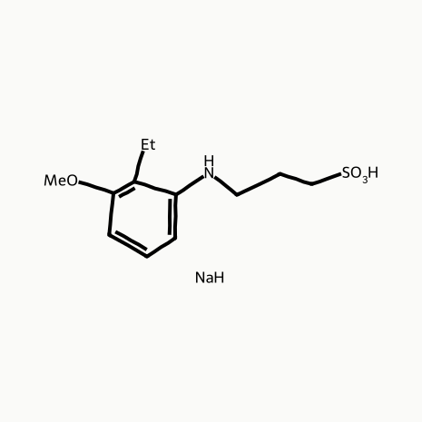 CCc1c(NCCCS(=O)(=O)O)cccc1OC.[NaH]